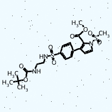 COC(=O)c1c(-c2ccc(S(=O)(=O)NCCNC(=O)OC(C)(C)C)cc2)ccn1S(C)(=O)=O